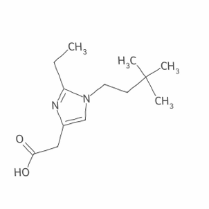 CCc1nc(CC(=O)O)cn1CCC(C)(C)C